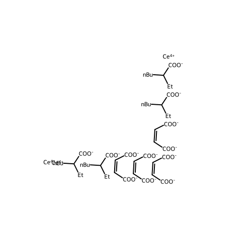 CCCCC(CC)C(=O)[O-].CCCCC(CC)C(=O)[O-].CCCCC(CC)C(=O)[O-].CCCCC(CC)C(=O)[O-].O=C([O-])/C=C\C(=O)[O-].O=C([O-])/C=C\C(=O)[O-].O=C([O-])/C=C\C(=O)[O-].O=C([O-])/C=C\C(=O)[O-].[Ce+4].[Ce+4].[Ce+4]